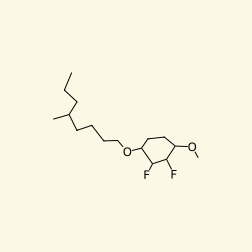 CCCC(C)CCCCOC1CCC(OC)C(F)C1F